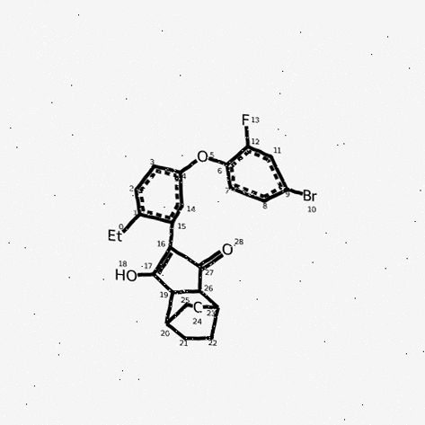 CCc1ccc(Oc2ccc(Br)cc2F)cc1C1=C(O)C2C3CCC(CC3)C2C1=O